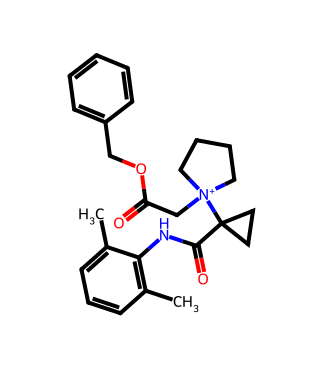 Cc1cccc(C)c1NC(=O)C1([N+]2(CC(=O)OCc3ccccc3)CCCC2)CC1